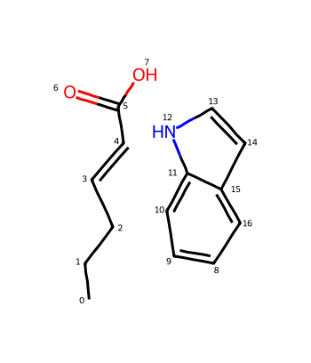 CCCC=CC(=O)O.c1ccc2[nH]ccc2c1